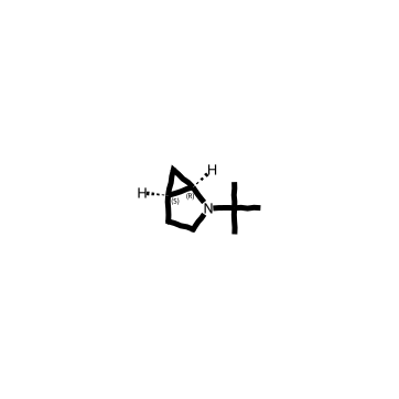 CC(C)(C)N1CC[C@H]2C[C@H]21